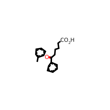 Cc1ccccc1.O=C(O)CCCCC(=O)c1ccccc1